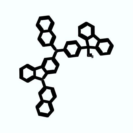 CC1(c2ccc(N(c3ccc4ccccc4c3)c3ccc4c(c3)c3ccccc3n4-c3ccc4ccccc4c3)cc2)c2ccccc2-c2ccccc21